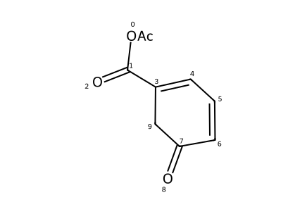 CC(=O)OC(=O)C1=CC=CC(=O)C1